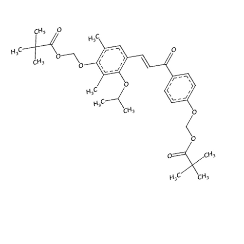 Cc1cc(C=CC(=O)c2ccc(OCOC(=O)C(C)(C)C)cc2)c(OC(C)C)c(C)c1OCOC(=O)C(C)(C)C